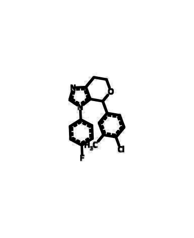 Cc1cc(C2OCCc3ncn(-c4ccc(F)cc4)c32)ccc1Cl